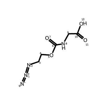 [N-]=[N+]=NCCOC(=O)NCC(=O)O